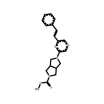 CC(C)(C)OC(=O)N1CC2CN(c3cncc(/C=C/c4ccccc4)n3)CC2C1